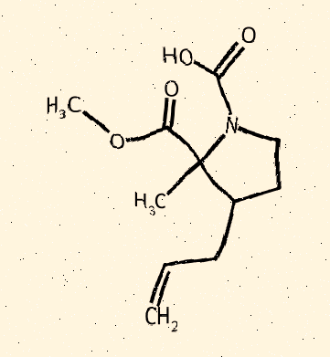 C=CCC1CCN(C(=O)O)C1(C)C(=O)OC